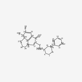 O=c1c(CNC2CCCN(c3cnccn3)C2)cn2c3c(c(F)c(F)cc13)SCC2